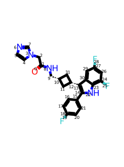 O=C(Cn1ccnc1)NC[C@H]1C[C@@H](c2c(-c3ccc(F)cc3)[nH]c3c(F)cc(F)cc32)C1